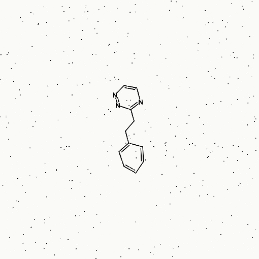 c1ccc(CCc2nccnn2)cc1